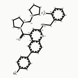 N#Cc1ccc(-c2ccc3nc(NCc4ccccc4C(F)(F)F)cc(C(=O)N4CCC[C@H]4CN4CCCC4)c3c2)cc1